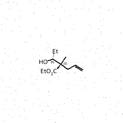 C=CC[C@](C)(C(=O)OCC)[C@H](O)CC